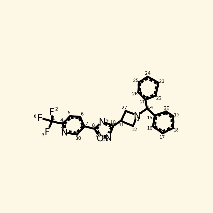 FC(F)(F)c1ccc(-c2nc(C3CN(C(c4ccccc4)c4ccccc4)C3)no2)cn1